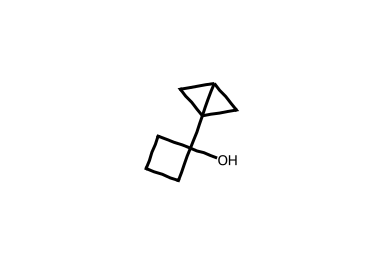 OC1(C23CC2C3)CCC1